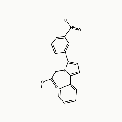 COC(=O)Cn1c(-c2ccccc2)ccc1-c1cccc([N+](=O)[O-])c1